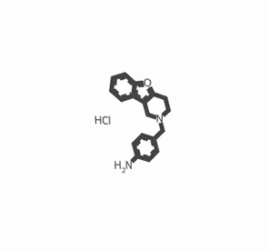 Cl.Nc1ccc(CN2CCc3oc4ccccc4c3C2)cc1